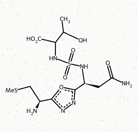 CSC[C@H](N)c1nnc([C@H](CC(N)=O)NS(=O)(=O)NC(C(=O)O)C(C)O)o1